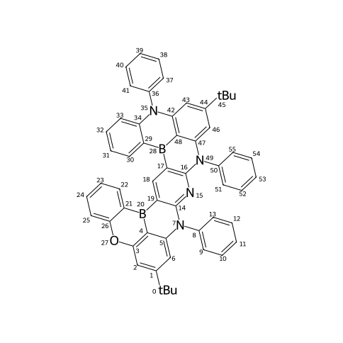 CC(C)(C)c1cc2c3c(c1)N(c1ccccc1)c1nc4c(cc1B3c1ccccc1O2)B1c2ccccc2N(c2ccccc2)c2cc(C(C)(C)C)cc(c21)N4c1ccccc1